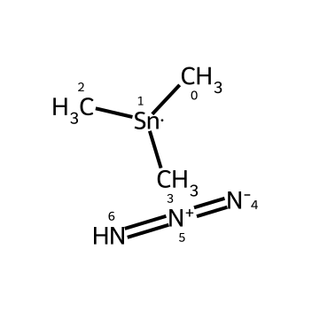 [CH3][Sn]([CH3])[CH3].[N-]=[N+]=N